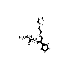 CCSCCSCC(=NOC(=O)NC)C1CCCC1